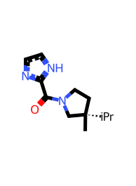 CC(C)[C@@]1(C)CCN(C(=O)c2ncc[nH]2)C1